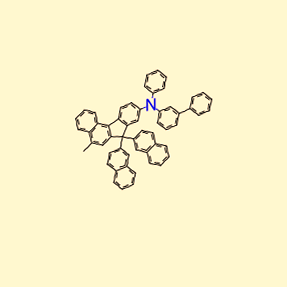 Cc1cc2c(c3ccccc13)-c1ccc(N(c3ccccc3)c3cccc(-c4ccccc4)c3)cc1C2(c1ccc2ccccc2c1)c1ccc2ccccc2c1